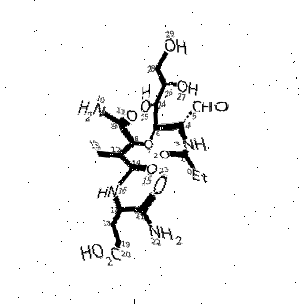 CCC(=O)N[C@@H](C=O)[C@@H](OC(C(N)=O)C(C)C(=O)NC(CCC(=O)O)C(N)=O)[C@H](O)[C@H](O)CO